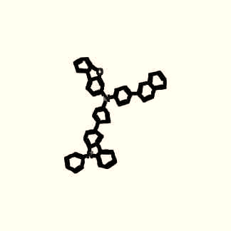 c1ccc(-n2c3ccccc3c3cc(-c4ccc(N(c5ccc(-c6ccc7ccccc7c6)cc5)c5ccc6c(c5)oc5ccccc56)cc4)ccc32)cc1